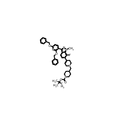 Cn1nc(-c2ccc(OCc3ccccc3)nc2OCc2ccccc2)c2ccc(C3=CCN(CC4CCN(C(=O)OC(C)(C)C)CC4)CC3)c(F)c21